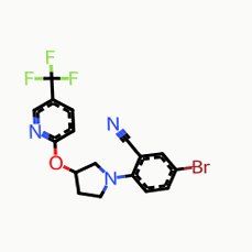 N#Cc1cc(Br)ccc1N1CCC(Oc2ccc(C(F)(F)F)cn2)C1